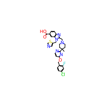 CC1(c2nccc(OCc3ccc(Cl)cc3F)n2)CCN(Cc2nc3ccc(C(=O)O)cc3n2Cc2cncs2)CC1